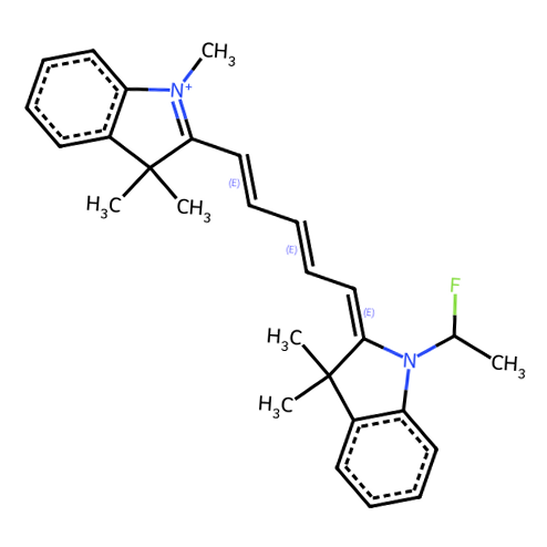 CC(F)N1/C(=C/C=C/C=C/C2=[N+](C)c3ccccc3C2(C)C)C(C)(C)c2ccccc21